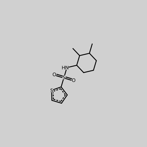 CC1CCCC(NS(=O)(=O)c2cccs2)C1C